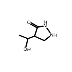 CC(O)C1CNNC1=O